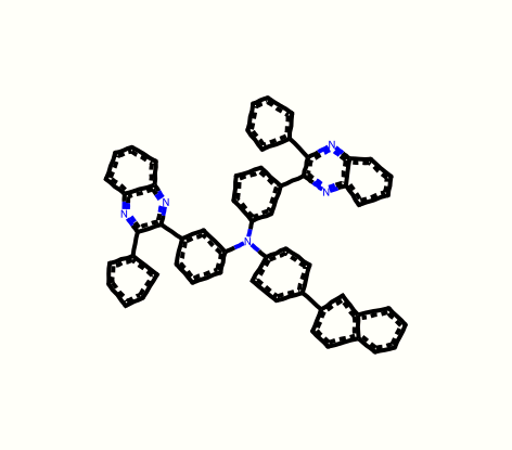 c1ccc(-c2nc3ccccc3nc2-c2cccc(N(c3ccc(-c4ccc5ccccc5c4)cc3)c3cccc(-c4nc5ccccc5nc4-c4ccccc4)c3)c2)cc1